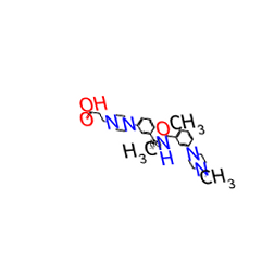 Cc1ccc(N2CCN(C)CC2)cc1C(=O)N[C@H](C)c1cccc(N2CCN(CCC(=O)O)CC2)c1